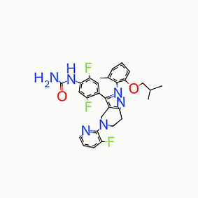 Cc1cccc(OCC(C)C)c1-n1nc2c(c1-c1cc(F)c(NC(N)=O)cc1F)CN(c1ncccc1F)CC2